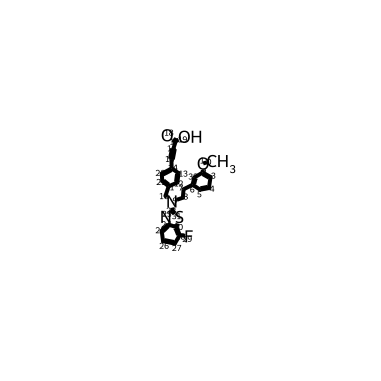 COc1cccc(CCN(Cc2ccc(C#CC(=O)O)cc2)c2nc3cccc(F)c3s2)c1